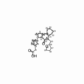 O=C(O)Cc1cn(-c2ncn3c2c(=O)n(CC2CCCO2)c2ccccc23)nn1